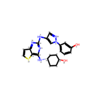 Oc1cccc(-n2cc(Nc3nc(N[C@H]4CC[C@H](O)CC4)c4sccc4n3)cn2)c1